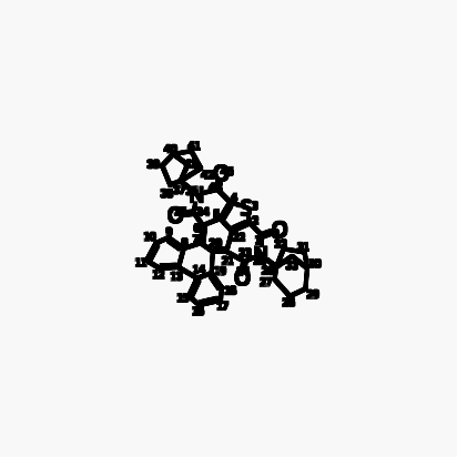 O=C1c2sc3c4c(c5c6ccccc6c6ccccc6c5c(c24)C(=O)N1C12CCCC(CC1)C2)C(=O)N(C12CCC(CC1)C2)C3=O